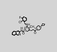 CN(C(=O)NCc1cccc(F)c1Cl)[C@@H](CCC(=O)N1CCN(C2CCC2)CC1)COC(=O)Nc1cc2ccccc2cn1